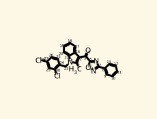 Cc1c(C(=O)c2nc(-c3ccccc3)no2)c2ccccc2n1Cc1ccc(Cl)cc1Cl